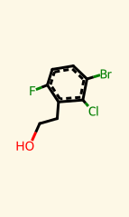 OCCc1c(F)ccc(Br)c1Cl